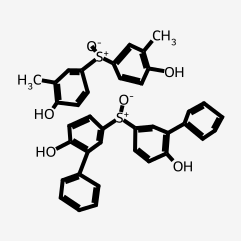 Cc1cc([S+]([O-])c2ccc(O)c(C)c2)ccc1O.[O-][S+](c1ccc(O)c(-c2ccccc2)c1)c1ccc(O)c(-c2ccccc2)c1